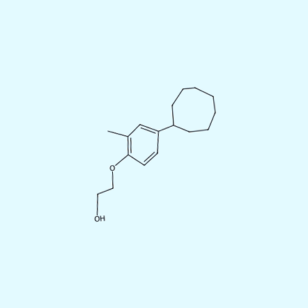 Cc1cc(C2CCCCCCC2)ccc1OCCO